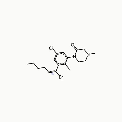 CCCC/C=C(/Br)c1cc(Cl)cc(N2CCN(C)CC2=O)c1C